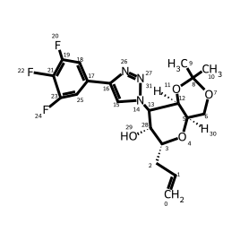 C=CC[C@H]1O[C@@H]2COC(C)(C)O[C@@H]2C(n2cc(-c3cc(F)c(F)c(F)c3)nn2)[C@H]1O